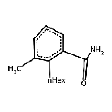 CCCCCCc1c(C)cccc1C(N)=O